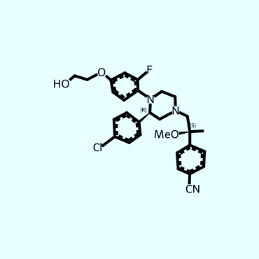 CO[C@](C)(CN1CCN(c2ccc(OCCO)cc2F)[C@H](c2ccc(Cl)cc2)C1)c1ccc(C#N)cc1